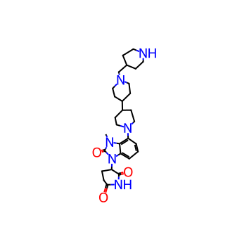 Cn1c(=O)n(C2CCC(=O)NC2=O)c2cccc(N3CCC(C4CCN(CC5CCNCC5)CC4)CC3)c21